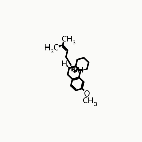 COc1ccc2c(c1)[C@@]13CCCC[C@@]1(O)[C@@H](C2)N(CC=C(C)C)CC3